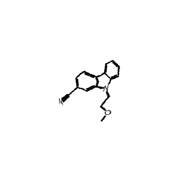 COCCn1c2ccccc2c2ccc(C#N)cc21